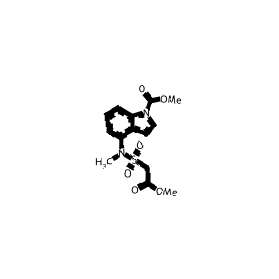 COC(=O)CS(=O)(=O)N(C)c1cccc2c1ccn2C(=O)OC